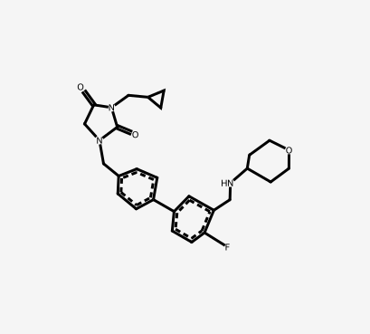 O=C1CN(Cc2ccc(-c3ccc(F)c(CNC4CCOCC4)c3)cc2)C(=O)N1CC1CC1